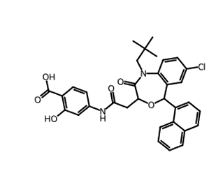 CC(C)(C)CN1C(=O)C(CC(=O)Nc2ccc(C(=O)O)c(O)c2)OC(c2cccc3ccccc23)c2cc(Cl)ccc21